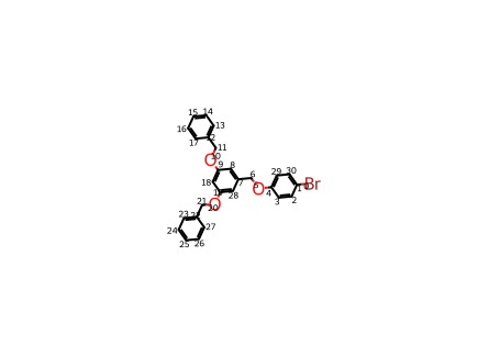 Brc1ccc(OCc2cc(OCc3ccccc3)cc(OCc3ccccc3)c2)cc1